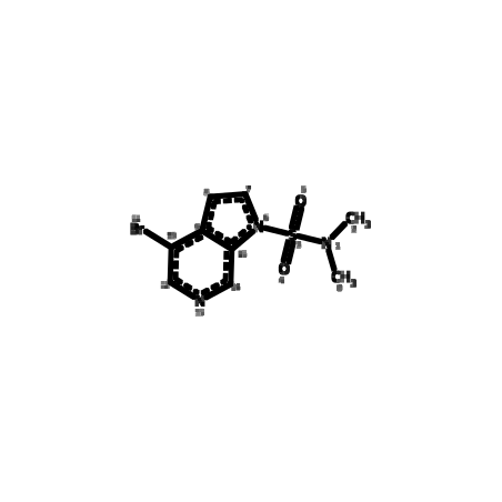 CN(C)S(=O)(=O)n1ccc2c(Br)cncc21